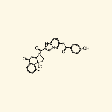 CC[C@]12CCN(C(=O)c3cn4cc(NC(=O)c5ccc(O)cc5)ccc4n3)C1=CC(=O)c1cccc(C)c12